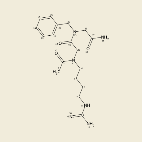 CC(=O)N(CCCCNC(=N)N)CC(=O)N(CC(N)=O)Cc1ccccc1